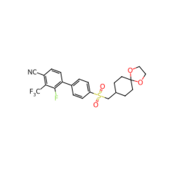 N#Cc1ccc(-c2ccc(S(=O)(=O)CC3CCC4(CC3)OCCO4)cc2)c(F)c1C(F)(F)F